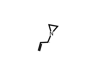 C=C[CH]N1CC1